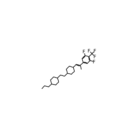 CCCC1CCC(CCC2CCC(/C=C(\C)c3cc(F)c(C(F)(F)F)c(F)c3)CC2)CC1